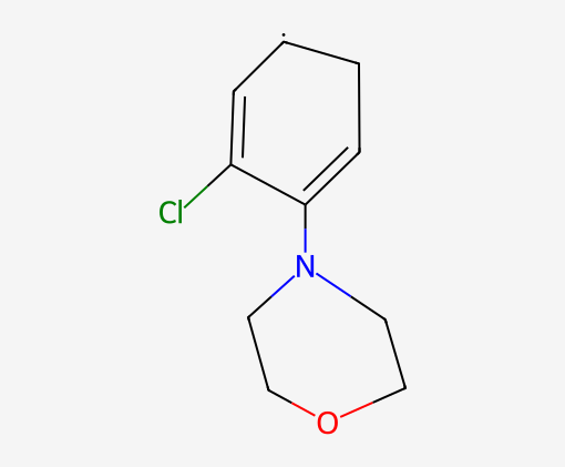 ClC1=C[CH]CC=C1N1CCOCC1